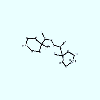 CC(C)C1([C@@H](C)CC[C@@H](C)C2(C)CCNCC2)CCOCC1